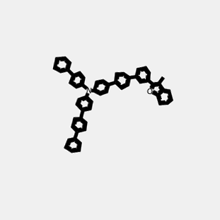 Cc1c(-c2cccc(-c3ccc(-c4ccc(N(c5ccc(-c6ccccc6)cc5)c5ccc(-c6ccc(-c7ccccc7)cc6)cc5)cc4)cc3)c2)oc2ccccc12